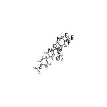 CCS(=O)(=O)c1cc(-c2ccc(C3CC3)cc2)cnc1-c1nc2cc(C(F)(F)F)cnc2o1